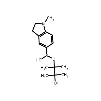 CN1CCc2cc(B(O)OC(C)(C)C(C)(C)O)ccc21